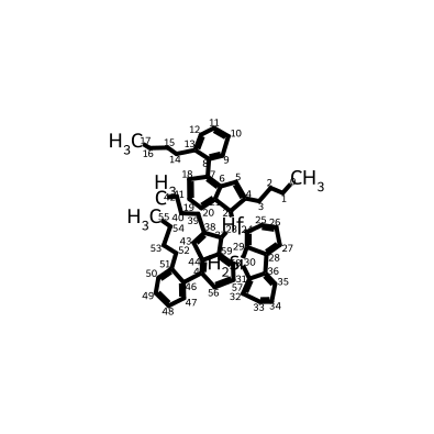 CCCCC1=Cc2c(-c3ccccc3CCCC)cccc2[CH]1[Hf]([c]1cccc2c1[SiH2]c1ccccc1-2)[CH]1C(CCCC)=Cc2c(-c3ccccc3CCCC)cccc21